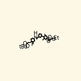 CCOCCS(=O)(=O)c1cc(C)c(-c2cccc(CNc3ccc(CCC(=O)OC(C)(C)C)c(F)c3)c2)c(C)c1